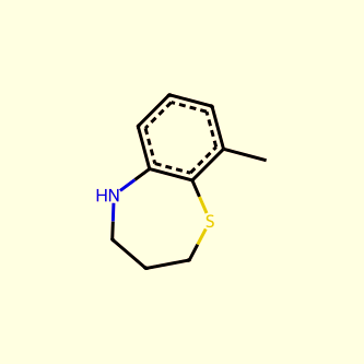 Cc1cccc2c1SCCCN2